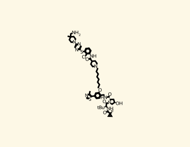 Cc1ncsc1-c1ccc(CNC(=O)[C@@H]2C[C@@H](O)CN2C(=O)[C@@H](NC(=O)C2(F)CC2)C(C)(C)C)c(OCCCCCCCCN2CCC(C(=O)Nc3cccc(Sc4cnc(N5CCC(C)(CN)CC5)cn4)c3Cl)CC2)c1